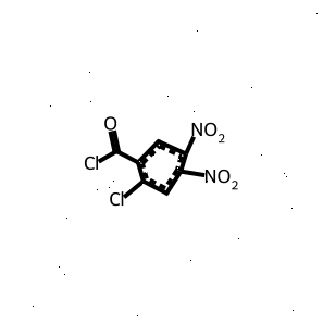 O=C(Cl)c1cc([N+](=O)[O-])c([N+](=O)[O-])cc1Cl